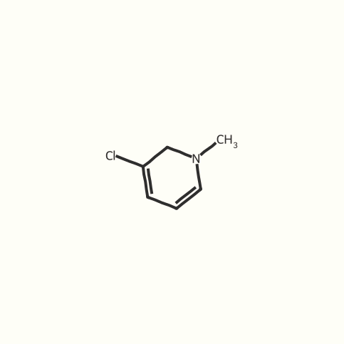 CN1C=CC=C(Cl)C1